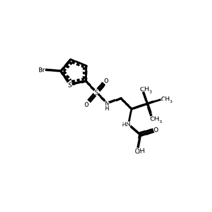 CC(C)(C)C(CNS(=O)(=O)c1ccc(Br)s1)NC(=O)O